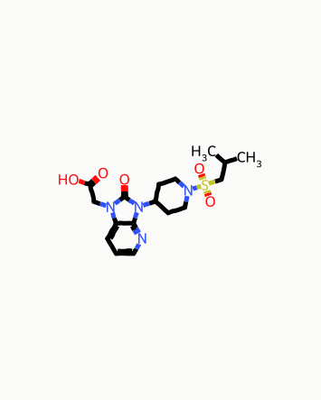 CC(C)CS(=O)(=O)N1CCC(n2c(=O)n(CC(=O)O)c3cccnc32)CC1